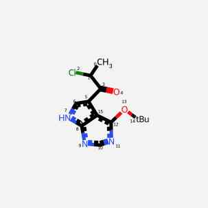 CC(Cl)C(=O)c1c[nH]c2ncnc(OC(C)(C)C)c12